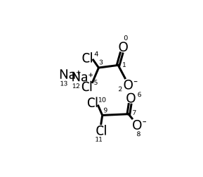 O=C([O-])C(Cl)Cl.O=C([O-])C(Cl)Cl.[Na+].[Na+]